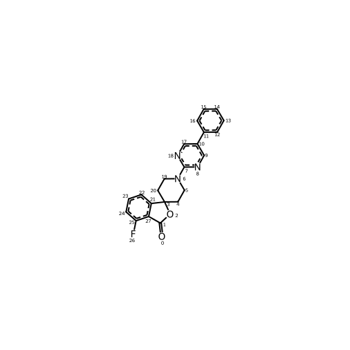 O=C1OC2(CCN(c3ncc(-c4ccccc4)cn3)CC2)c2cccc(F)c21